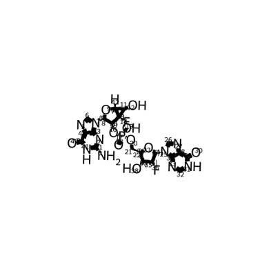 Nc1nc2c(ncn2[C@@H]2O[C@@H]3C(O)[C@]3(F)[C@H]2OP(=O)(O)OC[C@H]2O[C@H](n3cnc4c(=O)[nH]cnc43)[C@@H](F)[C@@H]2O)c(=O)[nH]1